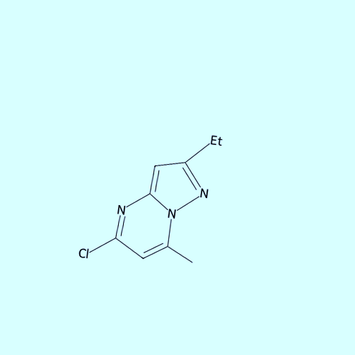 CCc1cc2nc(Cl)cc(C)n2n1